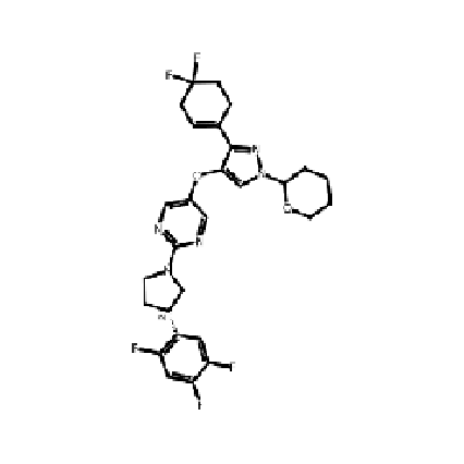 Fc1cc(F)c([C@@H]2CCN(c3ncc(Oc4cn(C5CCCCO5)nc4C4=CCC(F)(F)CC4)cn3)C2)cc1F